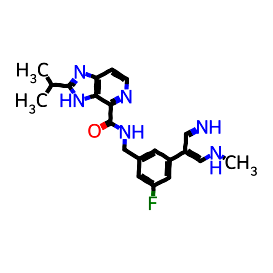 CN/C=C(\C=N)c1cc(F)cc(CNC(=O)c2nccc3nc(C(C)C)[nH]c23)c1